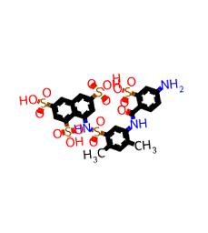 Cc1cc(C)c(S(=O)(=O)Nc2cc(S(=O)(=O)O)cc3cc(S(=O)(=O)O)cc(S(=O)(=O)O)c23)cc1NC(=O)c1ccc(N)cc1S(=O)(=O)O